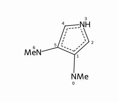 CNc1c[nH]cc1NC